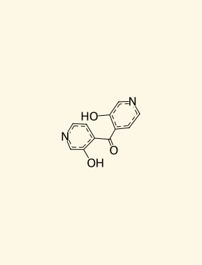 O=C(c1ccncc1O)c1ccncc1O